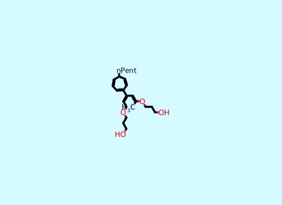 CCCCCC1C=CC=C(C(/C=C(\C)OCCCO)=C/COCCCO)C=C1